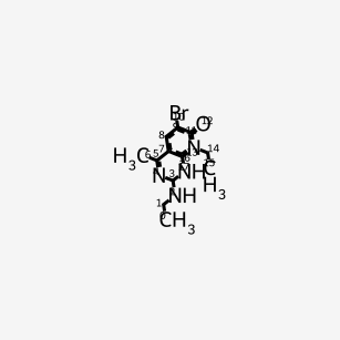 CCNC1N=C(C)c2cc(Br)c(=O)n(CC)c2N1